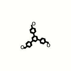 O=Cc1ccc(-c2cc(-c3ccc(C=O)cc3)cc(-c3ccc(C=O)cc3)c2)cc1